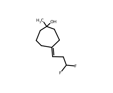 CC1(O)CCC/C(=C/CC(F)F)CC1